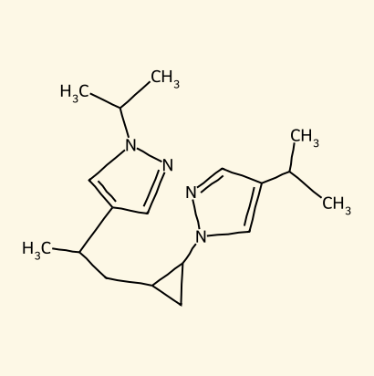 CC(C)c1cnn(C2CC2CC(C)c2cnn(C(C)C)c2)c1